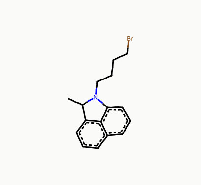 CC1c2cccc3cccc(c23)N1CCCCBr